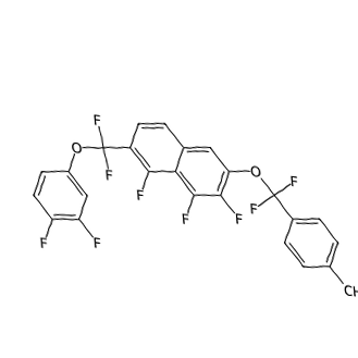 Cc1ccc(C(F)(F)Oc2cc3ccc(C(F)(F)Oc4ccc(F)c(F)c4)c(F)c3c(F)c2F)cc1